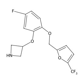 Fc1ccc(OCc2ccc(C(F)(F)F)o2)c(OC2CNC2)c1